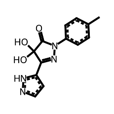 Cc1ccc(N2N=C(c3ccn[nH]3)C(O)(O)C2=O)cc1